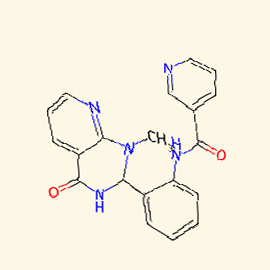 CN1c2ncccc2C(=O)NC1c1ccccc1NC(=O)c1cccnc1